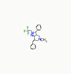 CN1C/C(=C\c2ccccc2)C2=NN(CC(F)(F)F)C(c3ccccc3)C2C1